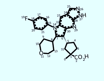 C[C@@]1(C(=O)O)CC[C@@H](c2c(C3CCOCC3)n(-c3ccc(F)cc3)c3cc4cn[nH]c4nc23)C1